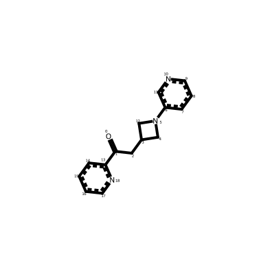 O=C(CC1CN(c2cccnc2)C1)c1ccccn1